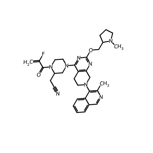 C=C(F)C(=O)N1CCN(c2nc(OCC3CCCN3C)nc3c2CCN(c2c(C)ncc4ccccc24)C3)CC1CC#N